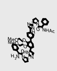 COCCOc1c(-c2ccc(-c3cnc([C@@H]4CCCN4C(=O)[C@H](NC(C)=O)c4ccccc4)[nH]3)cc2)ccc(-c2cnc([C@@H]3CCCN3C(=O)[C@H](N)c3ccccc3)[nH]2)c1OCCOC